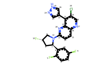 Fc1ccc(F)c([C@H]2C[C@H](F)CN2c2ccc3ncc(Cl)c(-c4cn[nH]c4)c3n2)c1